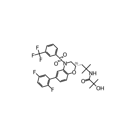 CC(C)(C[C@H]1CN(S(=O)(=O)c2cccc(C(F)(F)F)c2)c2cc(-c3cc(F)ccc3F)ccc2O1)NC(=O)C(C)(C)O